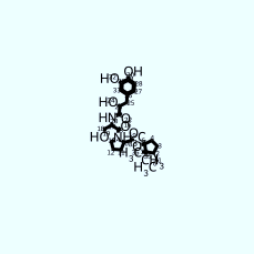 CC[C@@H]1CCC(C)(OC(=O)C2CCCN2C(=O)C(CO)NC(=O)C(O)Cc2ccc(O)c(O)c2)C1(C)C